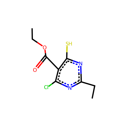 CCOC(=O)c1c(S)nc(CC)nc1Cl